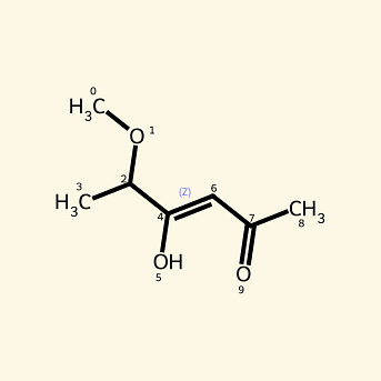 COC(C)/C(O)=C/C(C)=O